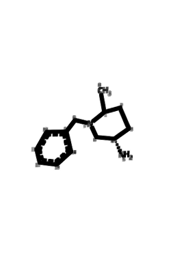 CC1CC[C@H](N)CN1Cc1ccccc1